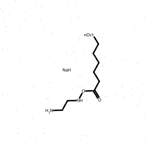 CCCCCCCCCCCCCC(=O)ONCCN.[NaH]